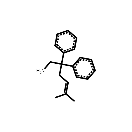 CC(C)=CCC(CN)(c1ccccc1)c1ccccc1